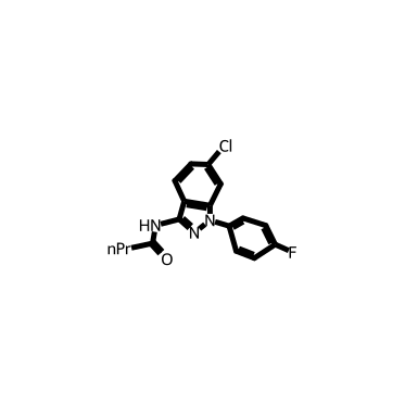 CCCC(=O)Nc1nn(-c2ccc(F)cc2)c2cc(Cl)ccc12